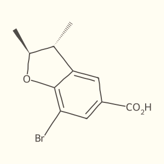 C[C@@H]1Oc2c(Br)cc(C(=O)O)cc2[C@H]1C